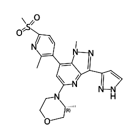 Cc1nc(S(C)(=O)=O)ccc1-c1cc(N2CCOC[C@H]2C)nc2c(-c3cc[nH]n3)nn(C)c12